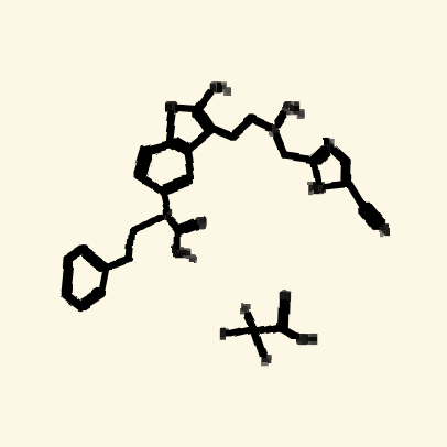 Cc1oc2ccc(N(CCc3ccccc3)C(N)=O)cc2c1CCN(C)Cc1ncc(C#N)[nH]1.O=C(O)C(F)(F)F